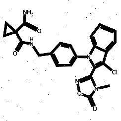 Cn1c(-c2c(Cl)c3ccccc3n2-c2ccc(CNC(=O)C3(C(N)=O)CC3)cc2)noc1=O